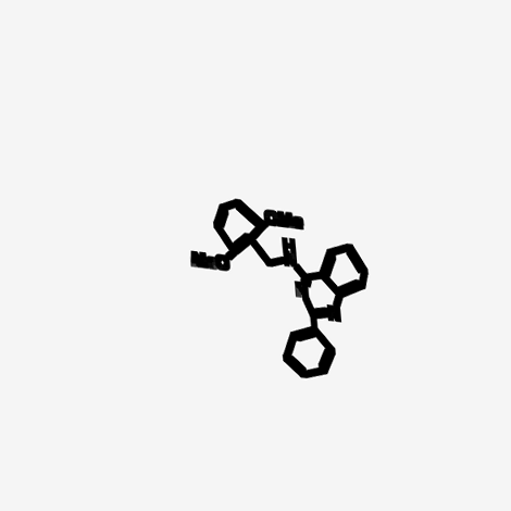 COc1cccc(OC)c1CNc1nc(-c2ccccc2)nc2ccccc12